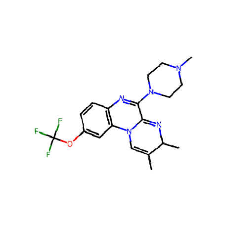 CC1=CN2C(=NC1C)C(N1CCN(C)CC1)=Nc1ccc(OC(F)(F)F)cc12